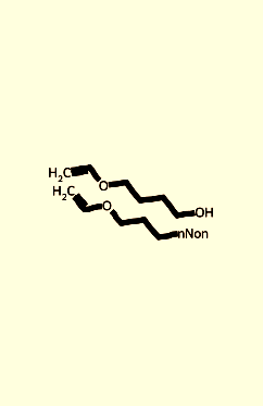 C=COCCCCCCCCCCCC.C=COCCCCO